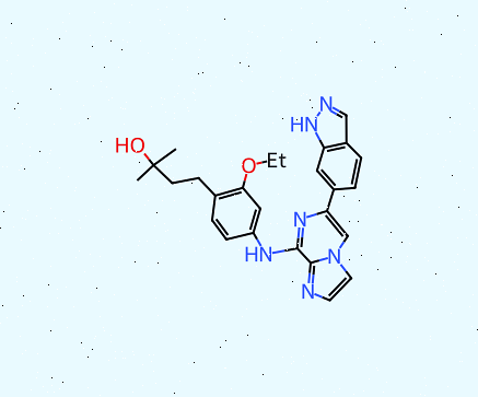 CCOc1cc(Nc2nc(-c3ccc4cn[nH]c4c3)cn3ccnc23)ccc1CCC(C)(C)O